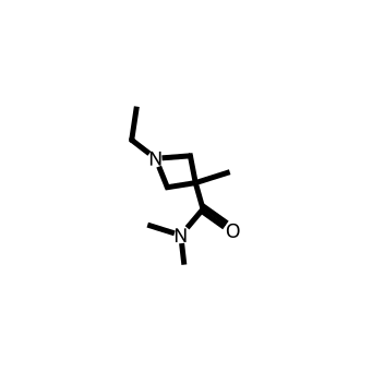 CCN1CC(C)(C(=O)N(C)C)C1